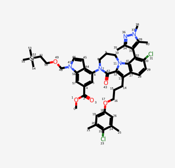 COC(=O)c1cc(N2CCCn3c(c(CCCOc4cc(C)c(Cl)c(C)c4)c4ccc(Cl)c(-c5c(C)nn(C)c5C)c43)C2=O)c2ccn(COCC[Si](C)(C)C)c2c1